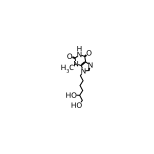 Cn1c(=O)[nH]c(=O)c2ncn(CCCCC(O)CO)c21